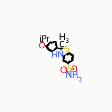 CC(C)Oc1ccc(C2(C)Nc3cc(S(N)(=O)=O)ccc3S2)cc1